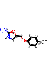 NC1=NCC(COc2ccc(C(F)(F)F)cc2)O1